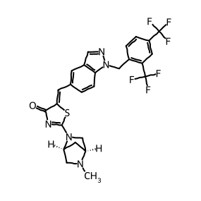 CN1C[C@@H]2C[C@H]1CN2C1=NC(=O)/C(=C/c2ccc3c(cnn3Cc3ccc(C(F)(F)F)cc3C(F)(F)F)c2)S1